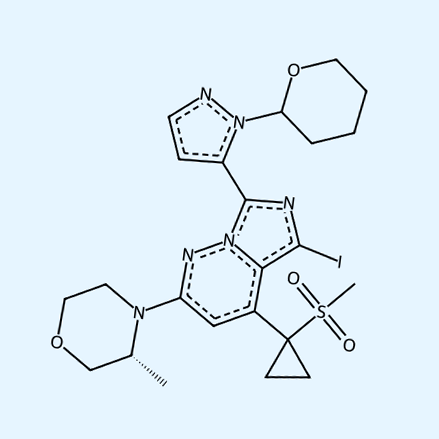 C[C@@H]1COCCN1c1cc(C2(S(C)(=O)=O)CC2)c2c(I)nc(-c3ccnn3C3CCCCO3)n2n1